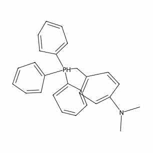 CN(C)c1ccc(C[PH](c2ccccc2)(c2ccccc2)c2ccccc2)cc1